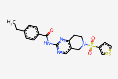 CCc1ccc(C(=O)Nc2ncc3c(n2)CCN(S(=O)(=O)c2ccsc2)C3)cc1